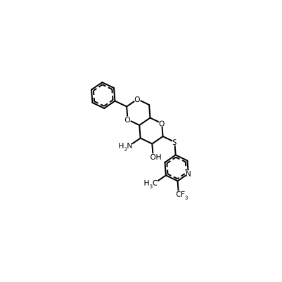 Cc1cc(SC2OC3COC(c4ccccc4)OC3C(N)C2O)cnc1C(F)(F)F